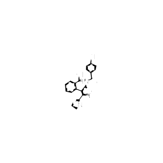 O=C(Nc1onc(-c2nccs2)c1-c1ccccc1C(=O)O)c1ccc(Cl)cc1